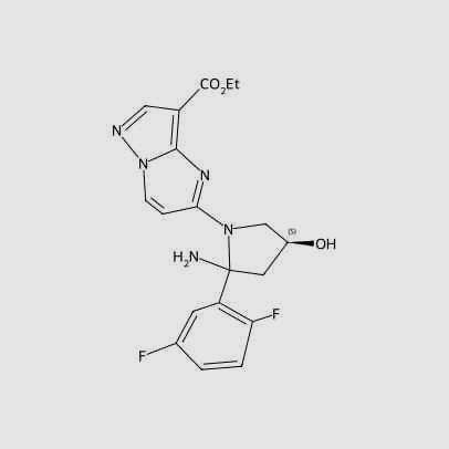 CCOC(=O)c1cnn2ccc(N3C[C@@H](O)CC3(N)c3cc(F)ccc3F)nc12